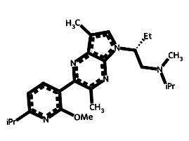 CC[C@H](CN(C)C(C)C)n1cc(C)c2nc(-c3ccc(C(C)C)nc3OC)c(C)nc21